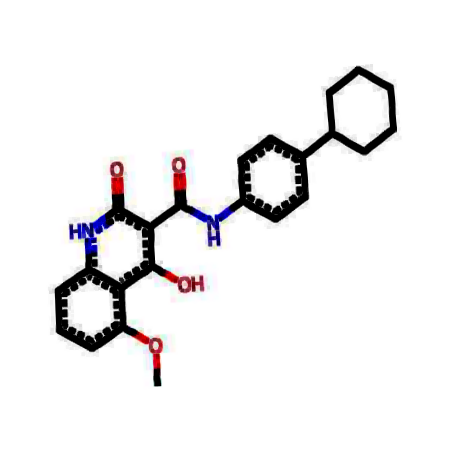 COc1cccc2[nH]c(=O)c(C(=O)Nc3ccc(C4CCCCC4)cc3)c(O)c12